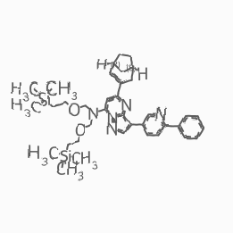 C[Si](C)(C)CCOCN(COCC[Si](C)(C)C)c1cc(C2=C[C@@H]3CC[C@H](C2)C3)nc2c(-c3ccc(-c4ccccc4)nc3)cnn12